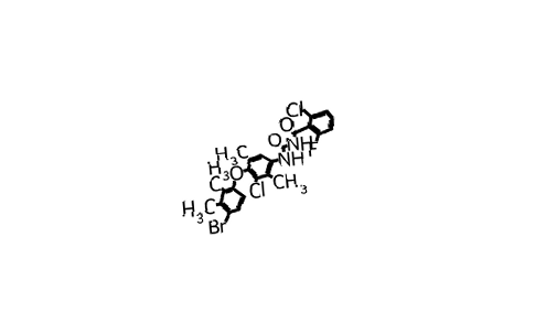 Cc1cc(NC(=O)NC(=O)c2c(F)cccc2Cl)c(C)c(Cl)c1Oc1ccc(Br)c(C)c1C